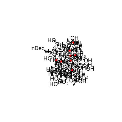 CCCCCCCCCCCC[Si](C)(O)[Si](O[SiH2]O)(O[Si]([Si](O[SiH2]O)([SiH2]O)[SiH2]O)([Si](O[Si](C)(C)O[Si](C)(C)C)(O[Si](O[Si](O[SiH](C)O)([SiH2]O)[SiH2]O)([Si](O[SiH2]O)([SiH2]O)[SiH2]O)[Si](O[SiH2]O)([SiH2]O)[SiH2]O)[Si](O[Si](O[SiH2]O)([SiH2]O)[SiH2]O)([Si](O[SiH2]O)([SiH2]O)[SiH2]O)[Si](O[SiH2]O)([SiH2]O)[SiH2]O)[Si](O[SiH](C)O)([Si](C)([SiH3])OC)[Si](O[SiH2]O)([SiH2]O)[SiH2]O)[SiH2]O